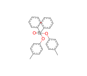 Cc1ccc([O][Ti](=[O])([O]c2ccc(C)cc2)([c]2ccccc2)[c]2ccccc2)cc1